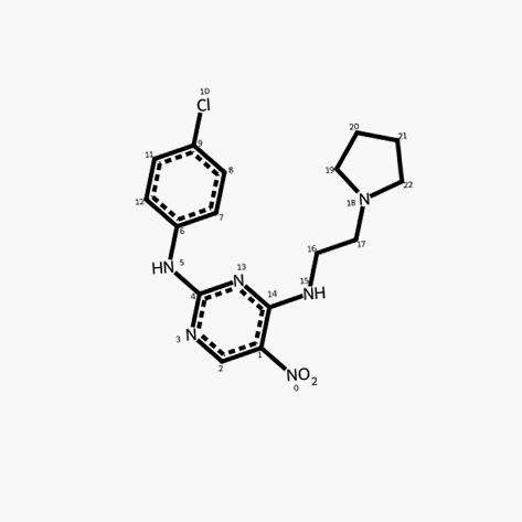 O=[N+]([O-])c1cnc(Nc2ccc(Cl)cc2)nc1NCCN1CCCC1